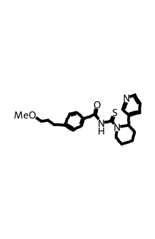 COCCCc1ccc(C(=O)NC(=S)N2CCCCC2c2cccnc2)cc1